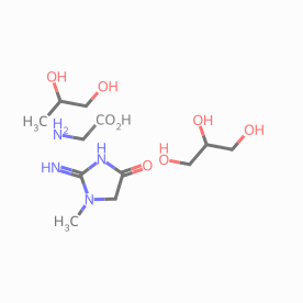 CC(O)CO.CN1CC(=O)NC1=N.NCC(=O)O.OCC(O)CO